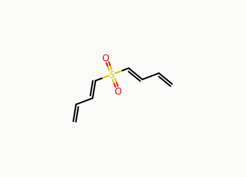 C=CC=CS(=O)(=O)C=CC=C